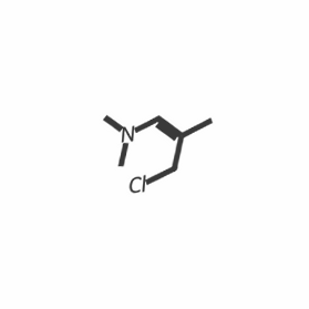 CC(=CN(C)C)CCl